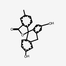 Cc1ccc2c(c1)C(=O)OC21c2ccc(O)cc2Cc2cc(O)ccc21